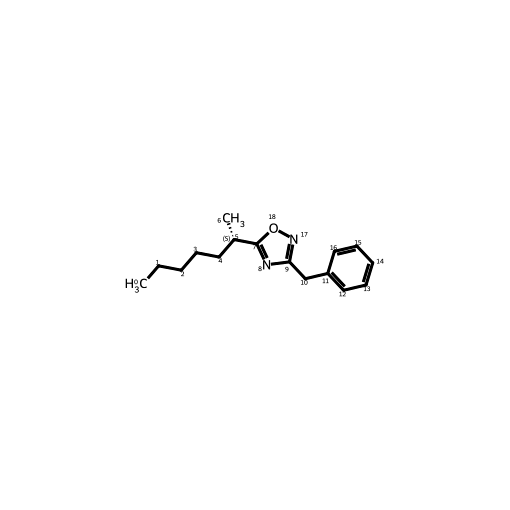 CCCCC[C@H](C)c1nc(Cc2ccccc2)no1